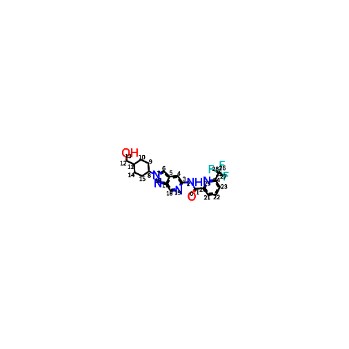 O=C(Nc1cc2cn(C3CCC(CO)CC3)nc2cn1)c1cccc(C(F)(F)F)n1